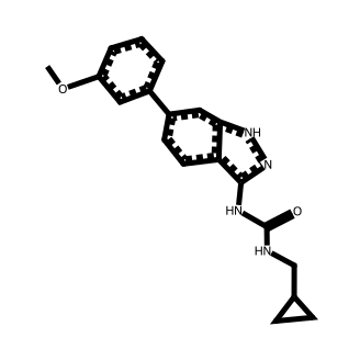 COc1cccc(-c2ccc3c(NC(=O)NCC4CC4)n[nH]c3c2)c1